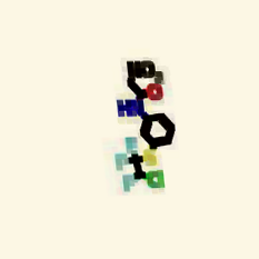 O=C(C[N+](=O)[O-])Nc1cccc(SC(F)(F)C(F)Cl)c1